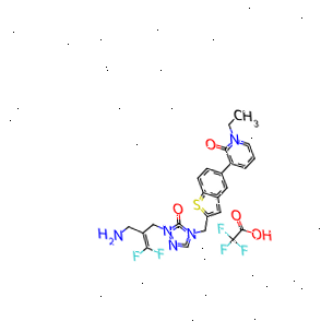 CCn1cccc(-c2ccc3sc(Cn4cnn(CC(CN)=C(F)F)c4=O)cc3c2)c1=O.O=C(O)C(F)(F)F